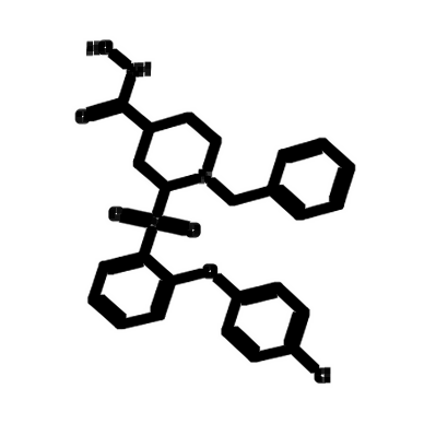 O=C(NO)C1CCN(Cc2ccccc2)C(S(=O)(=O)c2ccccc2Oc2ccc(Cl)cc2)C1